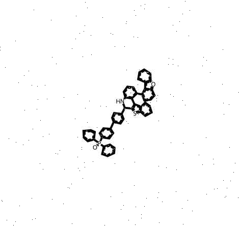 O=P(c1ccccc1)(c1ccccc1)c1ccc(-c2ccc(C3Nc4cccc(-c5cccc6oc7ccccc7c56)c4-c4c3sc3ccccc43)cc2)cc1